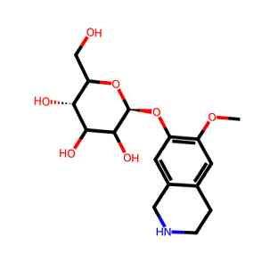 COc1cc2c(cc1O[C@@H]1OC(CO)[C@@H](O)C(O)C1O)CNCC2